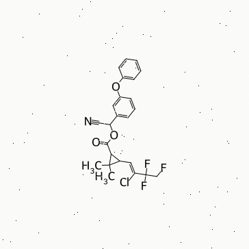 CC1(C)C(/C=C(\Cl)C(F)(F)CF)C1C(=O)OC(C#N)c1cccc(Oc2ccccc2)c1